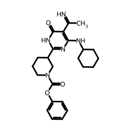 CC(=N)c1c(NC2CCCCC2)nc(C2CCCN(C(=O)Oc3ccccc3)C2)[nH]c1=O